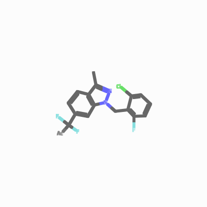 CC(=O)C(F)(F)c1ccc2c(C)nn(Cc3c(F)cccc3Cl)c2c1